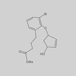 COC(=O)CCCc1cccc(Br)c1OC1C=CC(O)C1